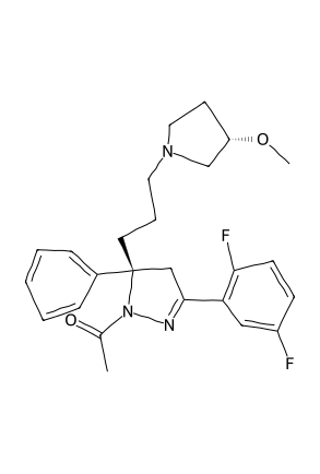 CO[C@H]1CCN(CCC[C@@]2(c3ccccc3)CC(c3cc(F)ccc3F)=NN2C(C)=O)C1